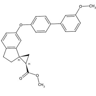 COC(=O)[C@@H]1C[C@]12CCc1ccc(Oc3ccc(-c4cccc(OC)c4)cc3)cc12